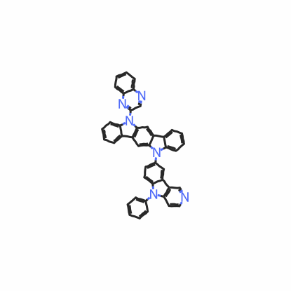 c1ccc(-n2c3ccncc3c3cc(-n4c5ccccc5c5cc6c(cc54)c4ccccc4n6-c4cnc5ccccc5n4)ccc32)cc1